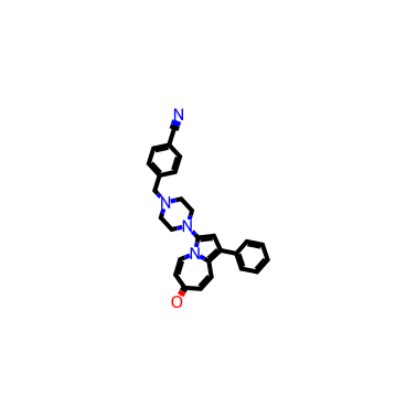 N#Cc1ccc(CN2CCN(c3cc(-c4ccccc4)c4ccc(=O)ccn34)CC2)cc1